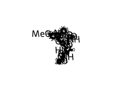 C=CC1CC1(NC(=O)C1CC(Oc2cc(-c3ccccc3)nc3cc(OC)ccc23)CN1C(=O)C(NC(=O)OC(C)(C)C)C(C)(C)C)C(=O)NS(=O)(=O)C1CCC1